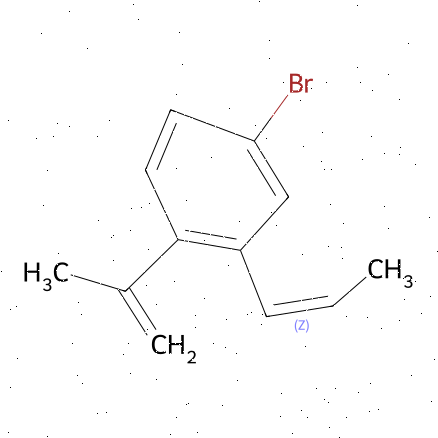 C=C(C)c1ccc(Br)cc1/C=C\C